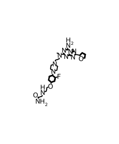 CN(CCN1CCN(c2ccc(OCCNCC(N)=O)cc2F)CC1)c1nc(N)n2nc(-c3ccco3)nc2n1